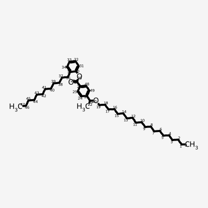 CCCCCCCCCCCCCCCCCCCCOC(C)c1ccc(C(=O)Oc2ccccc2CCCCCCCCCCCC)cc1